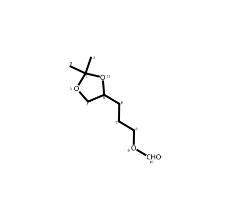 CC1(C)OCC(CCCO[C]=O)O1